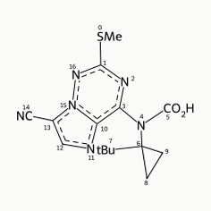 CSc1nc(N(C(=O)O)C2(C(C)(C)C)CC2)c2ncc(C#N)n2n1